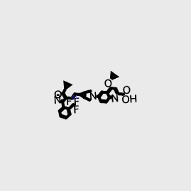 O=C(O)c1cc(OC2CC2)c2cc(N3CC4C(/C=C/c5c(-c6ccccc6C(F)(F)F)noc5C5CC5)C4C3)ccc2n1